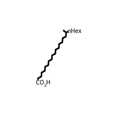 CCCCCCC(C)CCCCCCCCCCCCCCCCC(=O)O